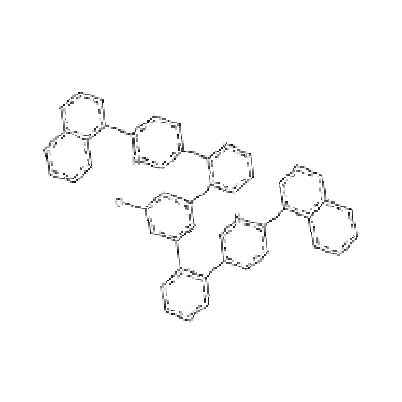 Clc1cc(-c2ccccc2-c2ccc(-c3cccc4ccccc34)nc2)cc(-c2ccccc2-c2ccc(-c3cccc4ccccc34)nc2)c1